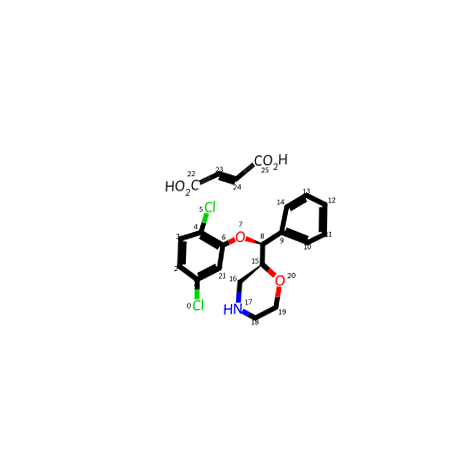 Clc1ccc(Cl)c(O[C@@H](c2ccccc2)[C@@H]2CNCCO2)c1.O=C(O)/C=C/C(=O)O